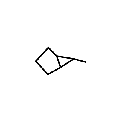 CC1C2CCCC12